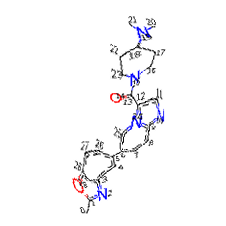 Cc1nc2cc(-c3ccc4ncc(C(=O)N5CCC(N(C)C)CC5)n4c3)ccc2o1